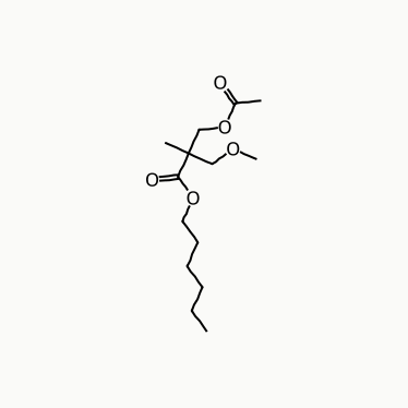 CCCCCCOC(=O)C(C)(COC)COC(C)=O